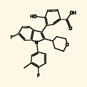 Cc1cc(-n2c(C3CCOCC3)c(-c3cc(C(=O)O)ccc3O)c3ccc(F)cc32)ccc1F